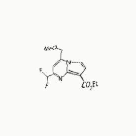 CCOC(=O)c1ccn2c(COC)cc(C(F)F)nc12